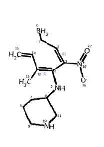 BC/C=C(\C(NC1CCCNC1)=C(\C)C=C)[N+](=O)[O-]